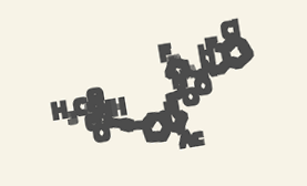 CC(=O)c1cn(CC(=O)N2C[C@H](F)C[C@H]2C(=O)NCc2cccc(Cl)c2F)c2cc(C#CC(=O)NS(C)(=O)=O)ccc12